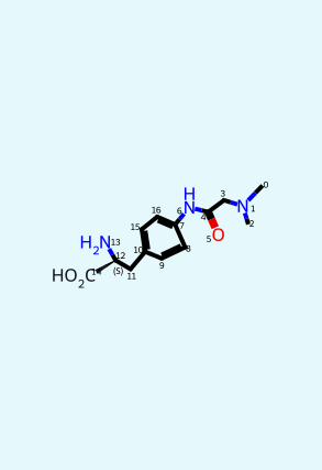 CN(C)CC(=O)Nc1ccc(C[C@H](N)C(=O)O)cc1